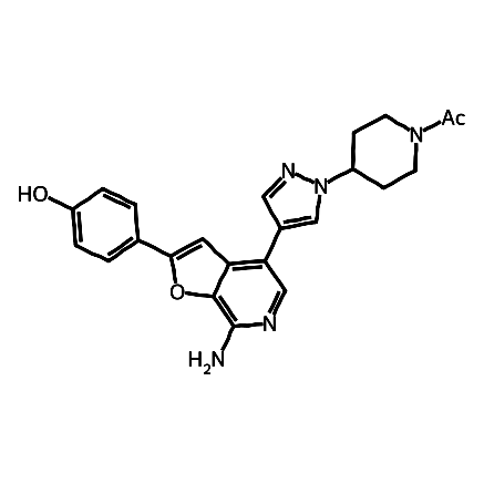 CC(=O)N1CCC(n2cc(-c3cnc(N)c4oc(-c5ccc(O)cc5)cc34)cn2)CC1